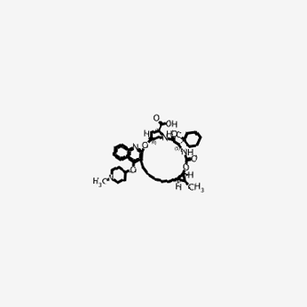 CC1[C@H]2CCCCCc3c(nc4ccccc4c3OC3CCN(C)CC3)O[C@@H]3C[C@@H](C(=O)O)N(C3)C(=O)[C@H](C3(C)CCCCC3)NC(=O)O[C@H]12